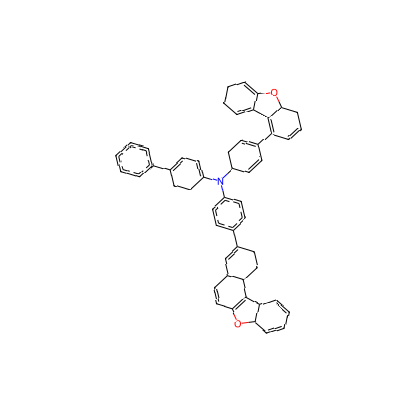 C1=CC2OC3=C(C2C=C1)C1CCC(c2ccc(N(C4=CC=C(c5ccccc5)CC4)C4C=CC(C5=C6C7=CCCC=C7OC6CC=C5)=CC4)cc2)=CC1C=C3